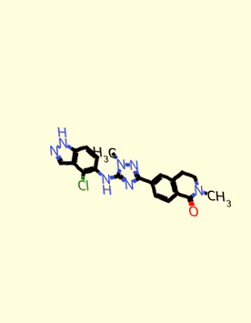 CN1CCc2cc(-c3nc(Nc4ccc5[nH]ncc5c4Cl)n(C)n3)ccc2C1=O